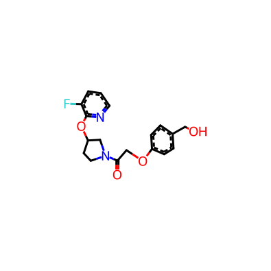 O=C(COc1ccc(CO)cc1)N1CCC(Oc2ncccc2F)C1